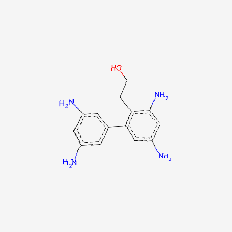 Nc1cc(N)cc(-c2cc(N)cc(N)c2CCO)c1